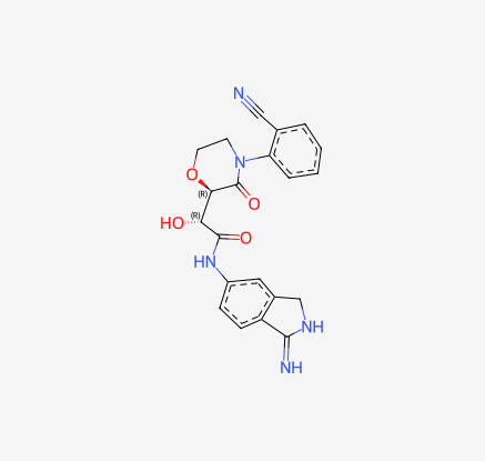 N#Cc1ccccc1N1CCO[C@H]([C@@H](O)C(=O)Nc2ccc3c(c2)CNC3=N)C1=O